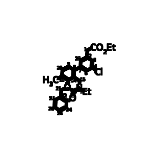 CCOC(=O)Cc1cc(Cl)cc(-c2ccc(C)cc2CN(CC)C(=O)OCc2ccccc2)c1